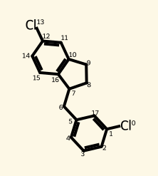 Clc1cccc(CC2CCc3cc(Cl)ccc32)c1